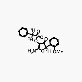 [2H]C1(c2ccccc2OC)OC(N)=C(OS(=O)(=O)C([2H])([2H])c2ccccc2)C1=O